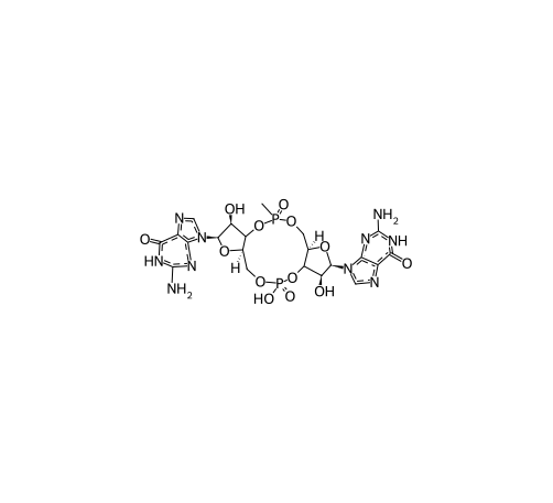 CP1(=O)OC[C@H]2O[C@@H](n3cnc4c(=O)[nH]c(N)nc43)[C@@H](O)C2OP(=O)(O)OC[C@H]2O[C@@H](n3cnc4c(=O)[nH]c(N)nc43)[C@@H](O)C2O1